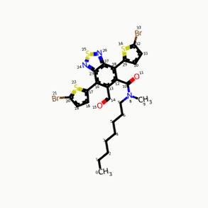 CCCCCCCCN(C)C(=O)c1c(C=O)c(-c2ccc(Br)s2)c2nsnc2c1-c1ccc(Br)s1